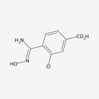 NC(=NO)c1ccc(C(=O)O)cc1Cl